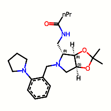 CCCC(=O)NC[C@@H]1[C@H]2OC(C)(C)O[C@H]2CN1Cc1ccccc1N1CCCC1